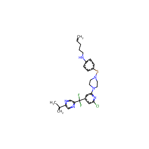 C=CCCCNc1ccc(SN2CCN(c3cc(C(F)(F)c4cnc(C(=C)C)cn4)cc(Cl)n3)CC2)cc1